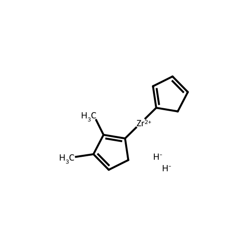 CC1=CC[C]([Zr+2][C]2=CC=CC2)=C1C.[H-].[H-]